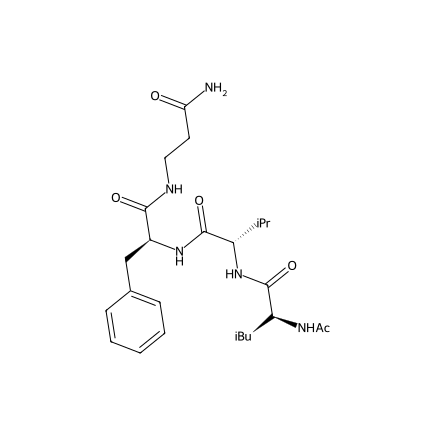 CC[C@H](C)[C@H](NC(C)=O)C(=O)N[C@H](C(=O)N[C@@H](Cc1ccccc1)C(=O)NCCC(N)=O)C(C)C